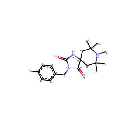 Cc1ccc(CN2C(=O)NC3(CC(C)(C)N(C)C(C)(C)C3)C2=O)cc1